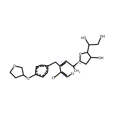 CC/C=C(Cl)\C(=C/C(C)[C@@H]1CC(O)C(C(O)CO)O1)Cc1ccc(OC2CCOC2)cc1